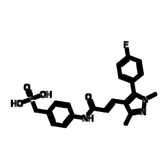 Cc1nn(C)c(-c2ccc(F)cc2)c1C=CC(=O)Nc1ccc(CP(=O)(O)O)cc1